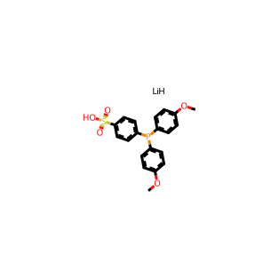 COc1ccc(P(c2ccc(OC)cc2)c2ccc(S(=O)(=O)O)cc2)cc1.[LiH]